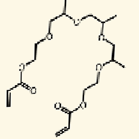 C=CC(=O)OCCOCC(C)OCC(C)OCC(C)OCCOC(=O)C=C